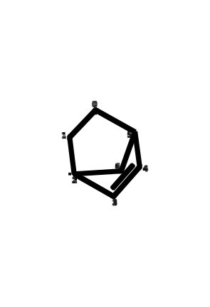 [CH]1C[C]2C=CC1C2